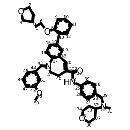 C1CCOC1.CCOc1ccccc1-c1ccc2c(c1)C=C(C(=O)Nc1ccc(CN(C)C3CCOCC3)cc1)CCN2Cc1cccc(OC)c1